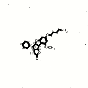 COc1cc(OCCCCN)cc2c1C1C3OC(=O)NC3[C@@H](c3ccccc3)C1O2